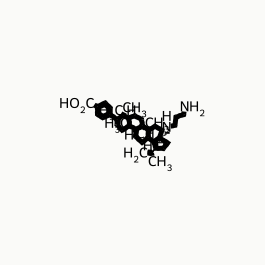 C=C(C)[C@@H]1CC[C@]2(CNCCCN)CC[C@]3(C)[C@H](CC[C@@H]4[C@@]5(C)CC=C(c6ccc(C(=O)O)cc6)C(C)(C)[C@@H]5CC[C@]43C)[C@@H]12